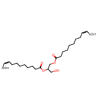 CCCCCC/C=C\CCCCCCCC(=O)OC(CO)COC(=O)CCCCCCC/C=C\CCCCCCCC